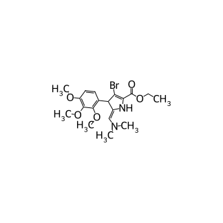 CCOC(=O)C1=C(Br)C(c2ccc(OC)c(OC)c2OC)C(=CN(C)C)N1